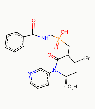 CC(C)CC(CP(=O)(O)CNC(=O)c1ccccc1)C(=O)N(c1cccnc1)[C@@H](C)C(=O)O